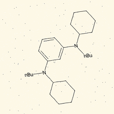 CCCCN(c1cccc(N(CCCC)C2CCCCC2)c1)C1CCCCC1